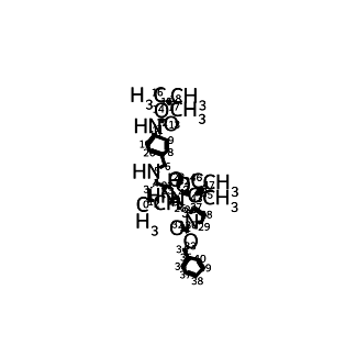 CC(C)C[C@H](NCc1ccc(NC(=O)OC(C)(C)C)cc1)C(=O)NN(C[C@@H]1C=CCN1C(=O)OCc1ccccc1)C(=O)OC(C)(C)C